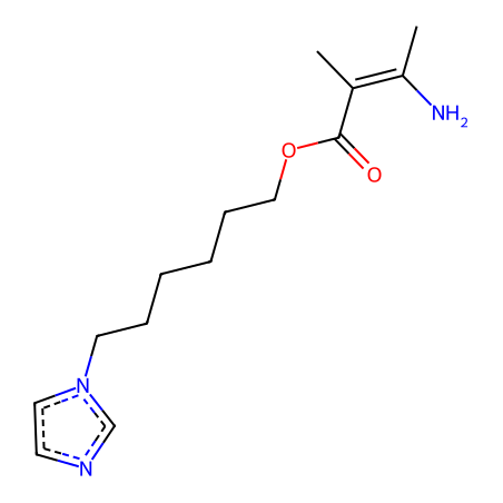 C/C(N)=C(\C)C(=O)OCCCCCCn1ccnc1